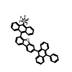 FS(F)(F)(F)(F)c1c2ccccc2c(-c2cccc3c2oc2cc(-c4c5ccccc5c(-c5ccccc5)c5ccccc45)ccc23)c2ccccc12